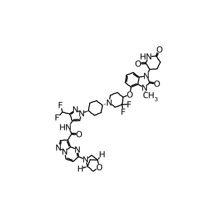 Cn1c(=O)n(C2CCC(=O)NC2=O)c2cccc(OC3CCN([C@H]4CC[C@H](n5cc(NC(=O)c6cnn7ccc(N8C[C@H]9C[C@@H]8CO9)nc67)c(C(F)F)n5)CC4)CC3(F)F)c21